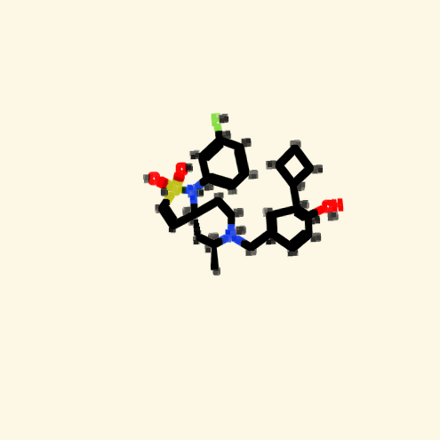 C[C@H]1C[C@@]2(C=CS(=O)(=O)N2c2cccc(F)c2)CCN1Cc1ccc(O)c(C2CCC2)c1